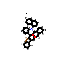 c1ccc(N(c2cccc3ccccc23)c2cccc3ccccc23)c(-c2cccc3c2sc2ccccc23)c1